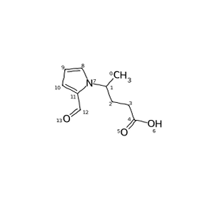 CC(CCC(=O)O)n1cccc1C=O